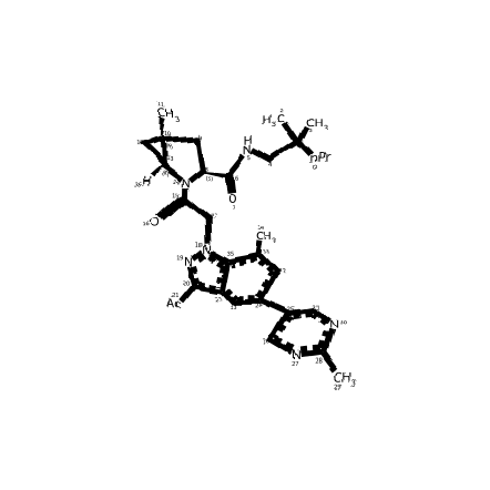 CCCC(C)(C)CNC(=O)[C@@H]1C[C@@]2(C)C[C@H]2N1C(=O)Cn1nc(C(C)=O)c2cc(-c3cnc(C)nc3)cc(C)c21